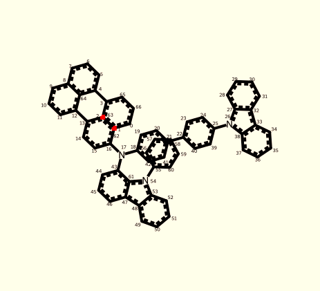 c1ccc(-c2cccc3cccc(-c4ccc(N(c5ccc(-c6ccc(-n7c8ccccc8c8ccccc87)cc6)cc5)c5cccc6c7ccccc7n(-c7ccccc7)c56)cc4)c23)cc1